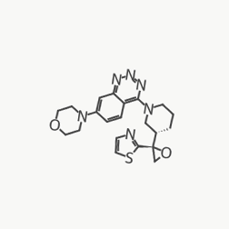 c1csc([C@]2([C@H]3CCCN(c4nnnc5cc(N6CCOCC6)ccc45)C3)CO2)n1